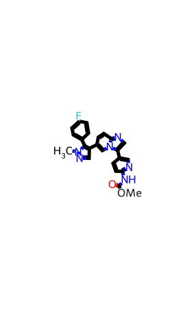 COC(=O)Nc1ccc(-c2cnc3ccc(-c4cnn(C)c4-c4ccc(F)cc4)cn23)cn1